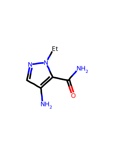 CCn1ncc(N)c1C(N)=O